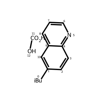 CCC(C)c1ccc2ncccc2c1.O=C(O)O